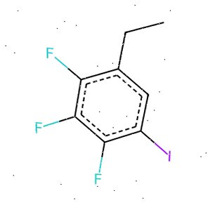 CCc1cc(I)c(F)c(F)c1F